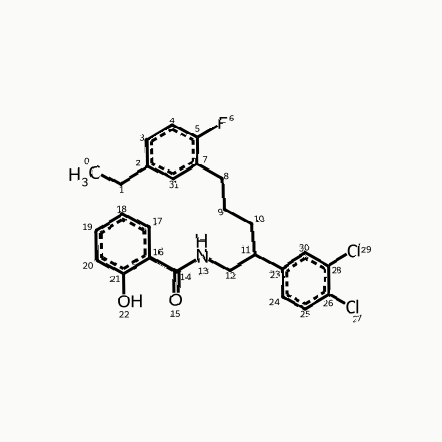 CCc1ccc(F)c(CCCC(CNC(=O)c2ccccc2O)c2ccc(Cl)c(Cl)c2)c1